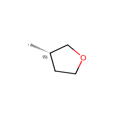 [CH2][C@H]1CCOC1